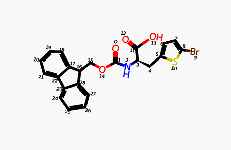 O=C(N[C@H](Cc1ccc(Br)s1)C(=O)O)OCC1c2ccccc2-c2ccccc21